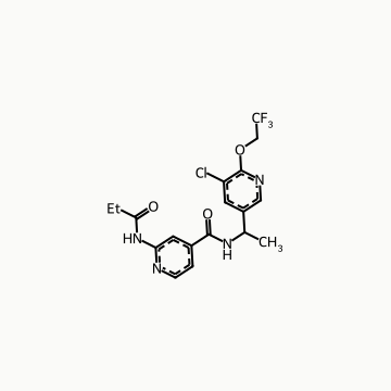 CCC(=O)Nc1cc(C(=O)NC(C)c2cnc(OCC(F)(F)F)c(Cl)c2)ccn1